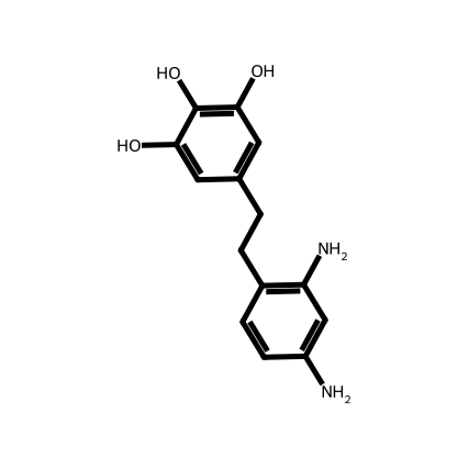 Nc1ccc(CCc2cc(O)c(O)c(O)c2)c(N)c1